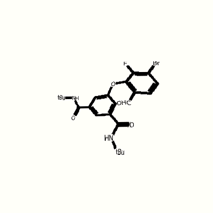 CC(C)(C)NC(=O)c1cc(Oc2c(C=O)ccc(Br)c2F)cc(C(=O)NC(C)(C)C)c1